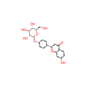 O=c1cc(-c2ccc(O[C@@H]3O[C@H](CO)[C@@H](O)[C@H](O)[C@H]3O)cc2)oc2cc(O)ccc12